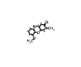 COc1ccccc1Oc1cn(C)c(=O)cc1Br